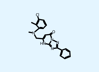 Cc1c(Cl)cccc1N(C)Cc1cc(=O)n2nc(-c3ccccc3)nc2[nH]1